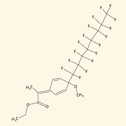 CCOC(=O)C(C)=C1C=CC(OC)(C(F)(F)C(F)(F)C(F)(F)C(F)(F)C(F)(F)C(F)(F)C(F)(F)C(F)(F)F)C=C1